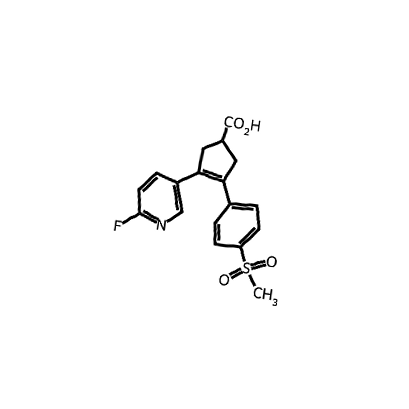 CS(=O)(=O)c1ccc(C2=C(c3ccc(F)nc3)CC(C(=O)O)C2)cc1